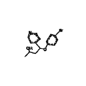 CC(O)CC(Oc1ccc(Br)cc1)c1ccncc1